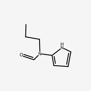 CCCN([C]=O)c1ccc[nH]1